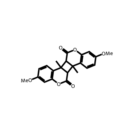 COc1ccc2c(c1)OC(=O)C1C2(C)C2C(=O)Oc3cc(OC)ccc3C12C